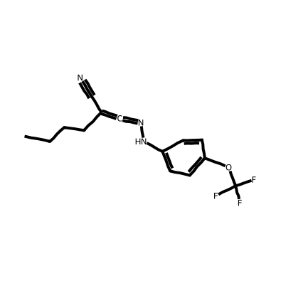 CCCCC(=C=NNc1ccc(OC(F)(F)F)cc1)C#N